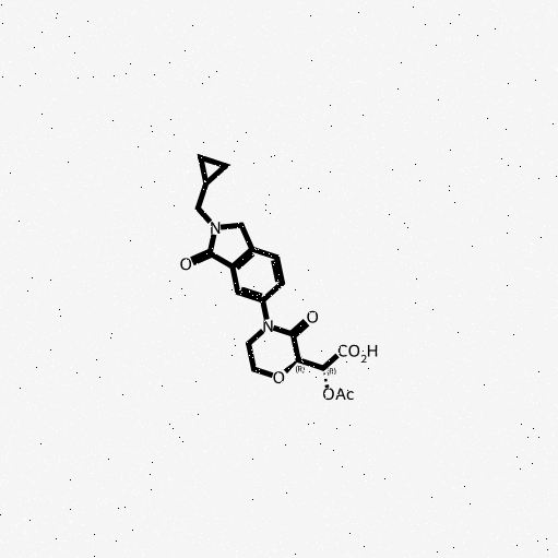 CC(=O)O[C@@H](C(=O)O)[C@H]1OCCN(c2ccc3c(c2)C(=O)N(CC2CC2)C3)C1=O